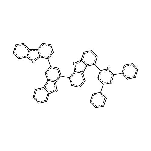 c1ccc(-c2nc(-c3ccccc3)nc(-c3cccc4sc5c(-c6cc(-c7cccc8c7oc7ccccc78)cc7c6oc6ccccc67)cccc5c34)n2)cc1